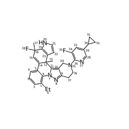 CCc1cccc2c1-n1nc3c(c1C1(C)C2=CC(C)(F)c2[nH]ccc21)CN(c1ncc(C2CC2)cc1F)CC3